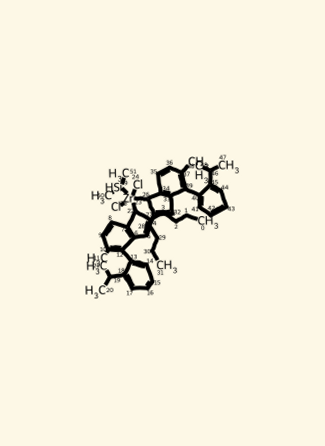 CCCCC1=Cc2c(ccc(C)c2-c2ccccc2C(C)C)[CH]1[Zr]([Cl])([Cl])([CH]1C(CCCC)=Cc2c1ccc(C)c2-c1ccccc1C(C)C)[SiH](C)C